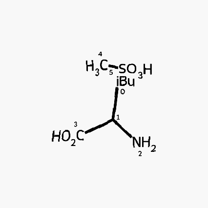 CCC(C)C(N)C(=O)O.CS(=O)(=O)O